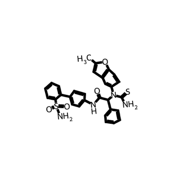 Cc1cc2cc(N(C(N)=S)C(C(=O)Nc3ccc(-c4ccccc4S(N)(=O)=O)cc3)c3ccccc3)ccc2o1